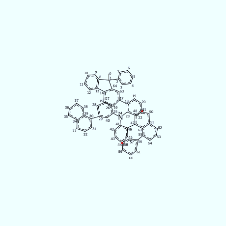 CC1(c2ccccc2)c2ccccc2-c2ccc(-c3ccccc3N(c3cccc(-c4cccc5ccccc45)c3)c3ccccc3-c3cccc4cccc(-c5ccccc5)c34)cc21